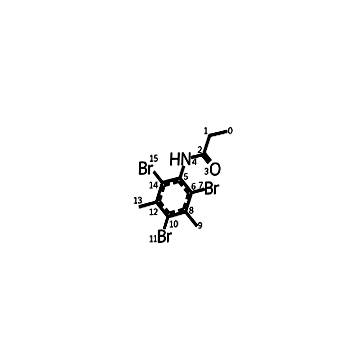 CCC(=O)Nc1c(Br)c(C)c(Br)c(C)c1Br